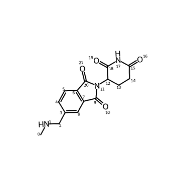 CNCc1ccc2c(c1)C(=O)N(C1CCC(=O)NC1=O)C2=O